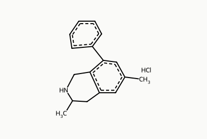 Cc1cc2c(c(-c3ccccc3)c1)CNC(C)C2.Cl